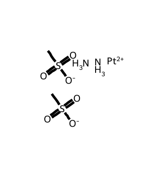 CS(=O)(=O)[O-].CS(=O)(=O)[O-].N.N.[Pt+2]